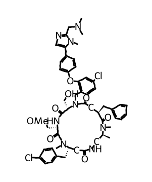 COC[C@@H]1NC(=O)[C@H](CO)N(Cc2ccc(Cl)cc2Oc2ccc(-c3cnc(CN(C)C)n3C)cc2)C(=O)C[C@@H](Cc2ccccc2)C(=O)N(C)[C@@H](C)CNC(=O)C[C@H](Cc2ccc(Cl)cc2)N(C)C1=O